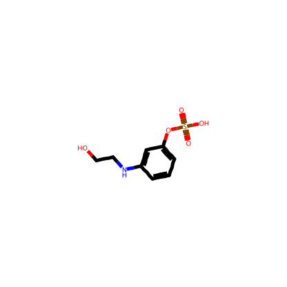 O=S(=O)(O)Oc1cccc(NCCO)c1